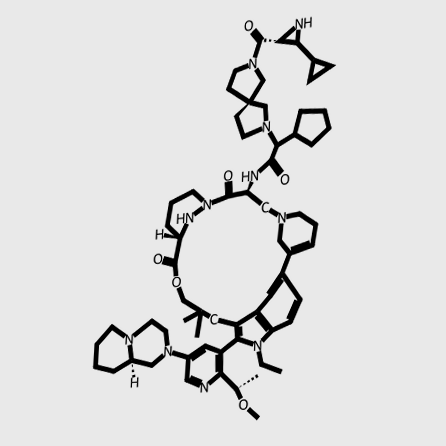 CCn1c(-c2cc(N3CCN4CCCC[C@@H]4C3)cnc2[C@H](C)OC)c2c3cc(ccc31)C1=CCCN(C1)C[C@H](NC(=O)C(C1CCCC1)N1CC[C@]3(CCN(C(=O)[C@@H]4NC4C4CC4)C3)C1)C(=O)N1CCC[C@H](N1)C(=O)OCC(C)(C)C2